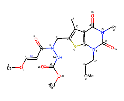 CCO/C=C/C(=O)N(Cc1sc2c(c1C)c(=O)n(C(C)C)c(=O)n2CCOC)NC(=O)OC(C)(C)C